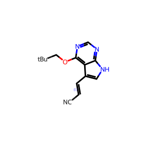 CC(C)(C)COc1ncnc2[nH]cc(/C=C/C#N)c12